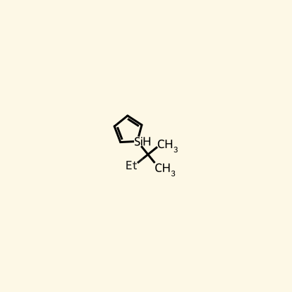 CCC(C)(C)[SiH]1C=CC=C1